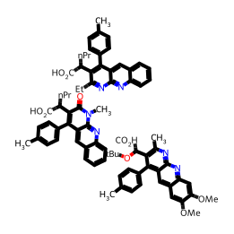 CCCC(C(=O)O)c1c(-c2ccc(C)cc2)c2cc3ccccc3nc2n(C)c1=O.CCCC(C(=O)O)c1c(CC)nc2nc3ccccc3cc2c1-c1ccc(C)cc1.COc1cc2cc3c(-c4ccc(C)cc4)c(C(OC(C)(C)C)C(=O)O)c(C)nc3nc2cc1OC